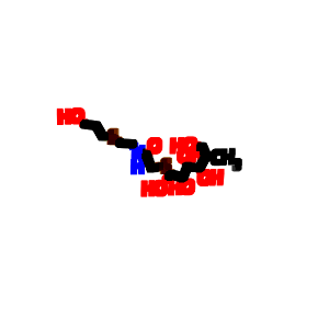 CC(CO)C(O)C(O)C(O)C(O)SCC(=O)NCCSCCCO